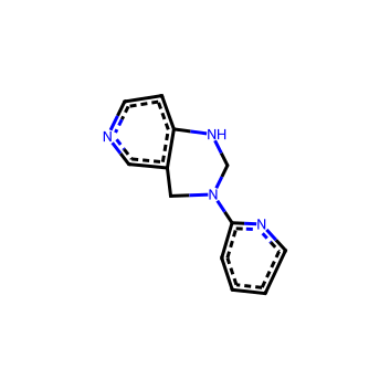 c1ccc(N2CNc3ccncc3C2)nc1